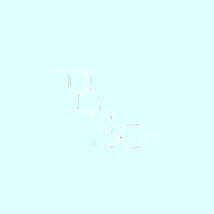 Cc1ccc2oc(C(=O)NC3(C(=O)O)CCCCC3)cc(=O)c2c1